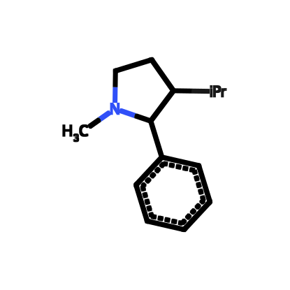 CC(C)C1CCN(C)C1c1ccccc1